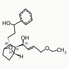 CCOCC=C[C@H](O)[C@H]1[C@@H]2CCC(O2)[C@@H]1CCC(O)c1ccccc1